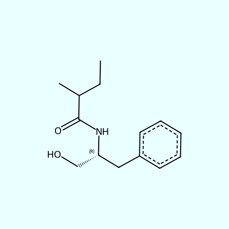 CCC(C)C(=O)N[C@@H](CO)Cc1ccccc1